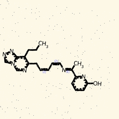 CCCc1c(C\C=C/C=C\N=C(/C)c2cccc(O)n2)ncn2cnnc12